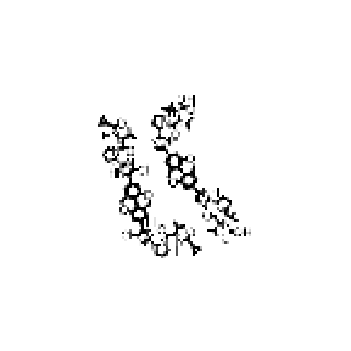 CC(C)[C@@H](C(=O)N1CCC[C@H]1c1ncc(-c2cc3c4c(c2)OCc2cc(-c5cnc([C@@H]6CCCN6C(=O)[C@H](C(C)C)N(C(=O)O)C(C)(C)C)[nH]5)cc(c2-4)OC3)[nH]1)N(C(=O)O)C(C)(C)C.CC(C)[C@H](NC(=O)C1CC1)C(=O)N1CCC[C@H]1c1nc(Cl)c(-c2cc3c4c(c2)OCc2cc(-c5[nH]c([C@@H]6CCCN6C(=O)[C@@H](NC(=O)C6CC6)C(C)C)nc5Cl)cc(c2-4)OC3)[nH]1